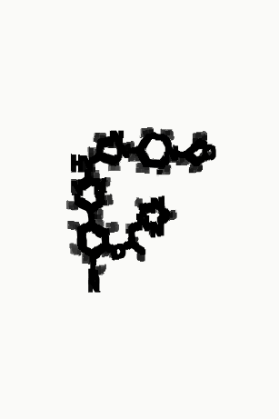 CC(Cn1cncn1)Oc1cc(-c2cnc(Nc3cnn(C4CCN(C5COC5)CC4)c3)nc2)ccc1C#N